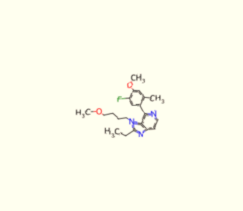 CCc1nc2ccnc(-c3cc(F)c(OC)cc3C)c2n1CCCCOC